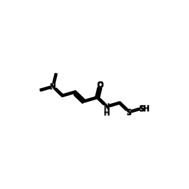 CN(C)C/C=C/C(=O)NCSS